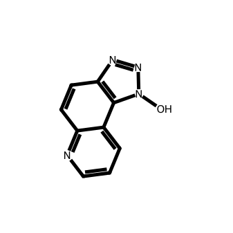 On1nnc2ccc3ncccc3c21